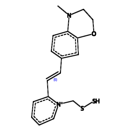 CN1CCOc2cc(/C=C/c3cccc[n+]3CSS)ccc21